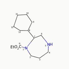 CCOC(=O)N1CCCNCC1C1CCCCC1